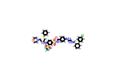 O=C(NS(=O)(=O)c1ccc(N[C@H](CCN2CCOCC2)CSc2ccccc2)c(S(=O)(=O)C(F)(F)F)c1)c1ccc(NCCNC[C@H]2CCCC[C@@H]2c2ccc(Cl)cc2)cc1